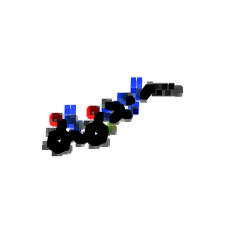 CNCCNc1ncc2c(n1)CN(C(=O)c1cc(Cc3n[nH]c(=O)c4ccccc34)ccc1F)C2